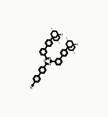 C[C@@H]1C[C@@H]2C[C@H](C)CC(c3ccc(-c4cccc(-c5nc(-c6ccc(-c7ccc(C#N)cc7)cc6)nc(-c6cccc(-c7ccc(C89C[C@H](C)C[C@H](C[C@H](C)C8)C9)cc7)c6)n5)c4)cc3)(C1)C2